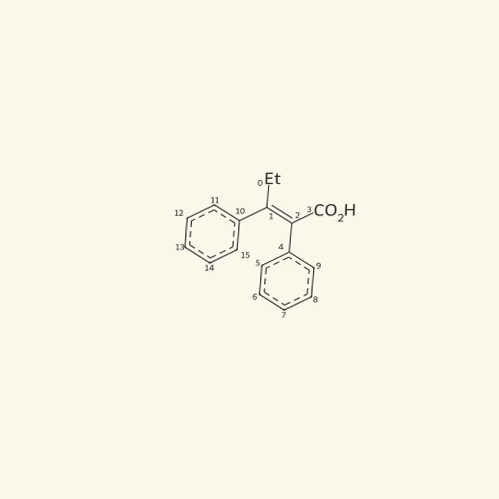 CCC(=C(C(=O)O)c1ccccc1)c1ccccc1